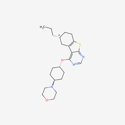 CCC[C@@H]1CCc2sc3ncnc(O[C@H]4CC[C@H](N5CCOCC5)CC4)c3c2C1